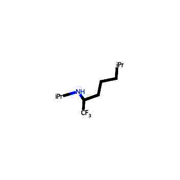 CC(C)CCCC(NC(C)C)C(F)(F)F